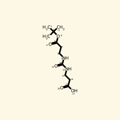 CC(C)(C)OC(=O)CCNC(=O)NCCC(=O)O